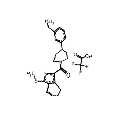 CSc1sc(C(=O)N2CCC(c3cccc(CN)c3)CC2)c2c1C=CCC2.O=C(O)C(F)(F)F